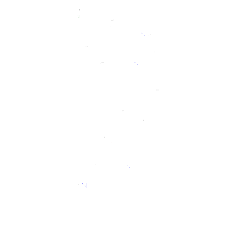 Cc1cc(NC(=O)Cc2ccc(-n3cnc4cc(Br)ccc43)cc2)sn1